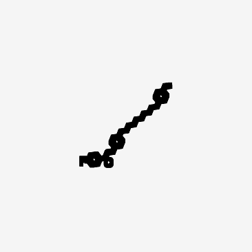 C=Cc1ccc(CCCCCCCCCCc2ccc(/C=C/C(=O)c3ccc(F)cc3)cc2)cc1